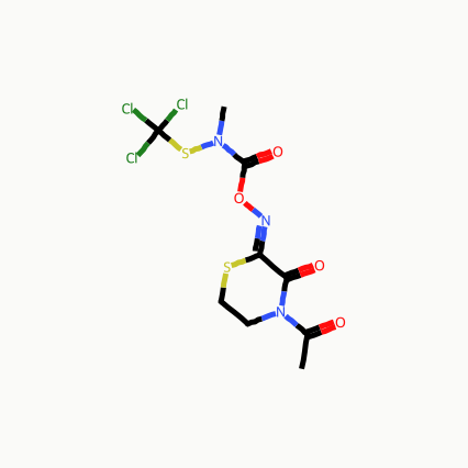 CC(=O)N1CCSC(=NOC(=O)N(C)SC(Cl)(Cl)Cl)C1=O